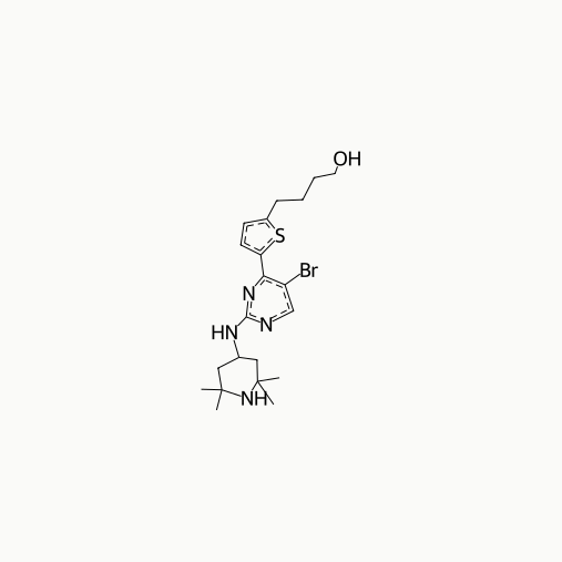 CC1(C)CC(Nc2ncc(Br)c(-c3ccc(CCCCO)s3)n2)CC(C)(C)N1